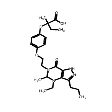 CCCc1n[nH]c2c1N(CC)C(C)N(CCOc1ccc(SC(C)(CC)C(=O)O)cc1)C2=O